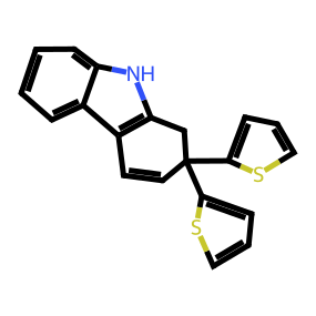 C1=CC(c2cccs2)(c2cccs2)Cc2[nH]c3ccccc3c21